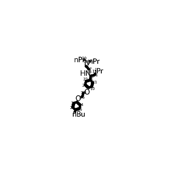 CCCCc1ccc(OCCOc2ccc(C(CC(C)C)NCCN(CCC)CCC)cc2)cc1